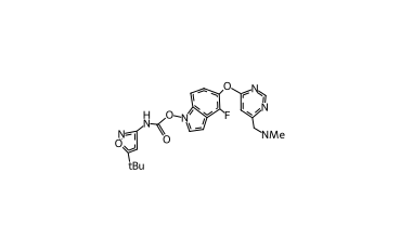 CNCc1cc(Oc2ccc3c(ccn3OC(=O)Nc3cc(C(C)(C)C)on3)c2F)ncn1